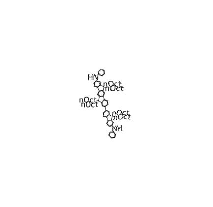 CCCCCCCCC1(CCCCCCCC)c2cc(Nc3ccccc3)ccc2-c2ccc(-c3ccc4c(c3)C(CCCCCCCC)(CCCCCCCC)c3cc5c(cc3-4)C(CCCCCCCC)(CCCCCCCC)c3cc(Nc4ccccc4)ccc3-5)cc21